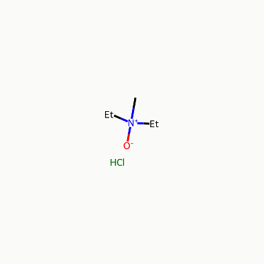 CC[N+](C)([O-])CC.Cl